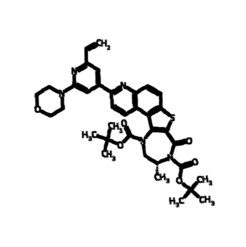 C=Cc1cc(-c2ccc3c(ccc4sc5c(c43)N(C(=O)OC(C)(C)C)C[C@@H](C)N(C(=O)OC(C)(C)C)C5=O)n2)cc(N2CCOCC2)n1